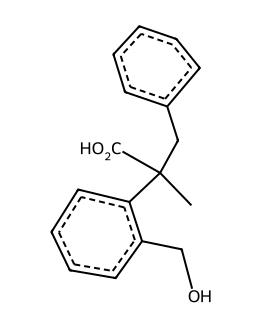 CC(Cc1ccccc1)(C(=O)O)c1ccccc1CO